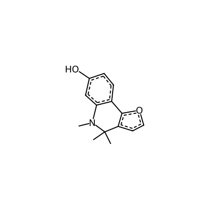 CN1c2cc(O)ccc2-c2occc2C1(C)C